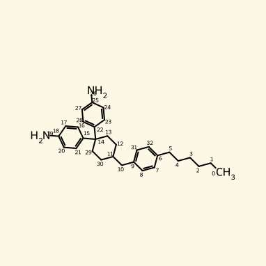 CCCCCCc1ccc(CC2CCC(c3ccc(N)cc3)(c3ccc(N)cc3)CC2)cc1